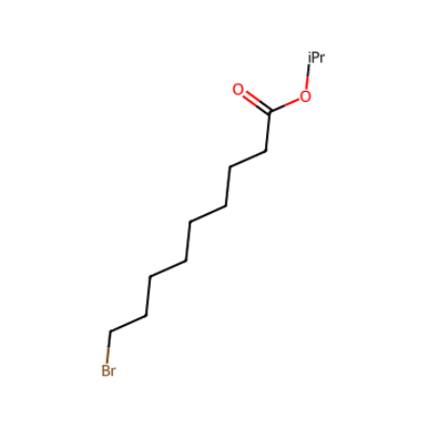 CC(C)OC(=O)CCCCCCCCBr